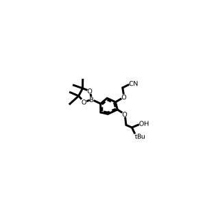 CC(C)(C)C(O)COc1ccc(B2OC(C)(C)C(C)(C)O2)cc1OCC#N